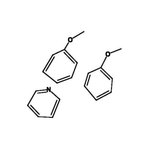 COc1ccccc1.COc1ccccc1.c1ccncc1